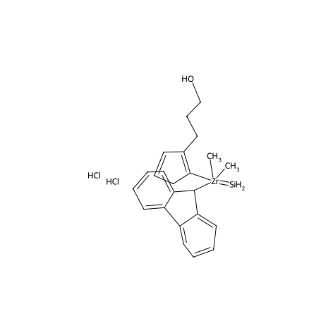 Cl.Cl.[CH3][Zr]([CH3])(=[SiH2])([C]1=C(CCCO)C=CC1)[CH]1c2ccccc2-c2ccccc21